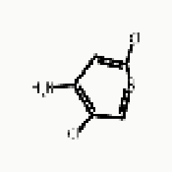 Nc1cc(Cl)ncc1Cl